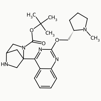 CN1CCC[C@H]1COc1nc(C23CNC(CN2C(=O)OC(C)(C)C)C3)c2ccccc2n1